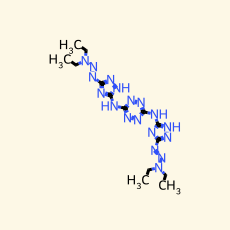 CCN(CC)/N=N/c1n[nH]c(Nc2nnc(Nc3nc(/N=N/N(CC)CC)n[nH]3)nn2)n1